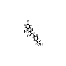 CCC(Cc1ccc(C(C)(C)O)cc1)c1nc2cc(C)ccc2[nH]1